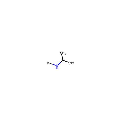 [CH2]CCC(C)NC(C)C